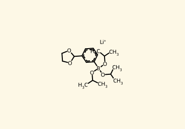 CC(C)O[B-](OC(C)C)(OC(C)C)c1cccc(C2OCCO2)c1.[Li+]